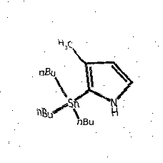 CCC[CH2][Sn]([CH2]CCC)([CH2]CCC)[c]1[nH]ccc1C